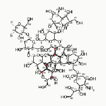 CC1C(O)[C@H](OC2OC(CO)[C@H](O)[C@H](O[C@]3(C(=O)O)C[C@@H](O)[C@@H](N)C(C(O)C(O)CO)O3)C2O)[C@H](CO)O[C@H]1O[C@@H]1C(O)[C@H](O)C(CO)O[C@@H]1OCC1O[C@@H](O[C@@H]2C(CO)O[C@@H](O[C@@H]3C(CO)O[C@@H](C)[C@@H](C)C3O)[C@@H](C)C2O)[C@H](O)C(O[C@H]2O[C@H](CO)[C@@H](O)C(O)C2O[C@@H]2OC(CO)[C@@H](O[C@@H]3OC(CO[C@]4(C(=O)O)C[C@@H](O)[C@@H](N)C(C(O)C(O)CO)O4)[C@H](O)C(O)[C@@H]3O)C(O)[C@@H]2C)[C@@H]1O